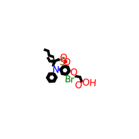 CCCC[C@]1(CC)CN(c2ccccc2)c2cc(Br)c(OCCC(=O)O)cc2S(=O)(=O)C1